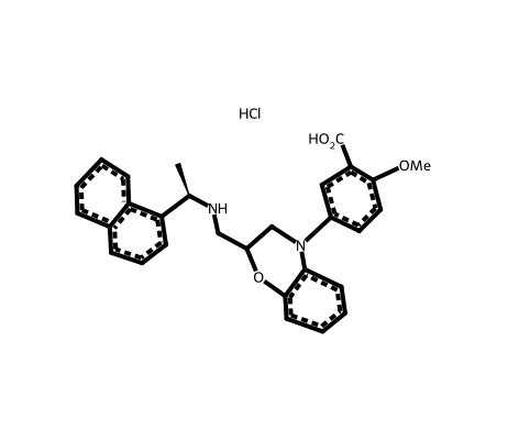 COc1ccc(N2CC(CN[C@H](C)c3cccc4ccccc34)Oc3ccccc32)cc1C(=O)O.Cl